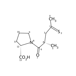 CC(=S)C[C@H](C)C(=O)N1CCC[C@H]1C(=O)O